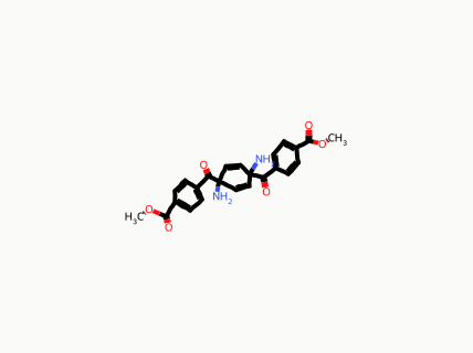 COC(=O)c1ccc(C(=O)C2(N)C=CC(N)(C(=O)c3ccc(C(=O)OC)cc3)C=C2)cc1